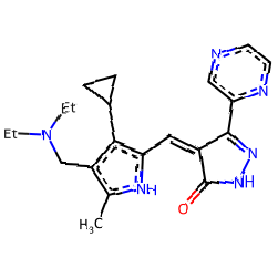 CCN(CC)Cc1c(C)[nH]c(C=C2C(=O)NN=C2c2cnccn2)c1C1CC1